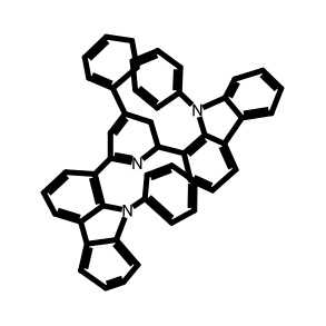 C1=CCCC(C2=CC(c3cccc4c5ccccc5n(-c5ccccc5)c34)=NC(c3cccc4c5ccccc5n(-c5ccccc5)c34)C2)=C1